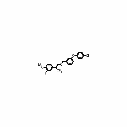 CCOc1ccc(C(COCc2cccc(Oc3ccc(Cl)cc3)c2)C(F)(F)F)cc1F